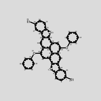 CCc1ccc2sc3c(cc4c(Oc5ccccc5)cc5c6sc7ccc(CC)cc7c6cc6c(Oc7ccccc7)cc3c4c65)c2c1